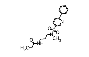 C=CC(=O)NCCCN(C)S(=O)(=O)c1ccc(-c2ccccc2)nc1